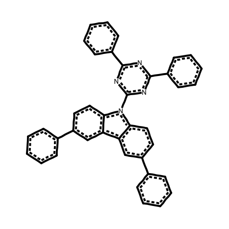 c1ccc(-c2ccc3c(c2)c2cc(-c4ccccc4)ccc2n3-c2nc(-c3ccccc3)nc(-c3ccccc3)n2)cc1